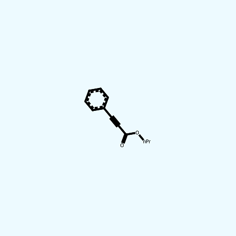 CCCOC(=O)C#Cc1ccccc1